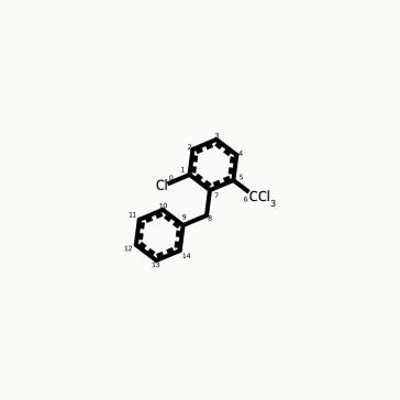 Clc1cccc(C(Cl)(Cl)Cl)c1Cc1ccccc1